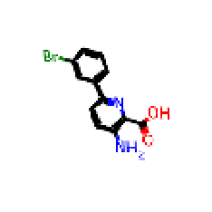 Nc1ccc(-c2cccc(Br)c2)nc1C(=O)O